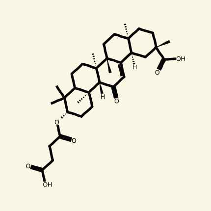 CC1(C)C2CC[C@]3(C)[C@H](C(=O)C=C4[C@@H]5C[C@@](C)(C(=O)O)CC[C@]5(C)CC[C@]43C)[C@@]2(C)CC[C@@H]1OC(=O)CCC(=O)O